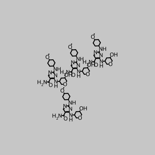 COC1CCC(Nc2ncc(C(N)=O)c(NC3COCC(O)C3)n2)CC1.COC1CCC(Nc2ncc(C(N)=O)c(NC3COCC(O)C3)n2)CC1.COC1CCC(Nc2ncc(C(N)=O)c(NC3COCC(O)C3)n2)CC1.COC1CCC(Nc2ncc(C(N)=O)c(NC3COCC(O)C3)n2)CC1